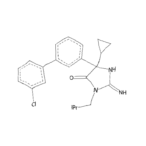 CC(C)CN1C(=N)NC(c2cccc(-c3cccc(Cl)c3)c2)(C2CC2)C1=O